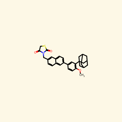 COc1ccc(-c2ccc3cc(CN4C(=O)CSC4=O)ccc3c2)cc1C12CC3CC(CC(C3)C1)C2